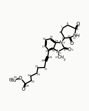 Cn1c(=O)n(C2CCCC(=O)NC2=O)c2cccc(C#CCCCCCC(=O)OC(C)(C)C)c21